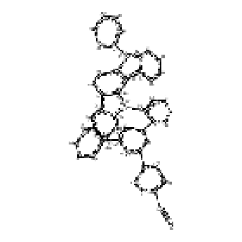 N#Cc1ccc(-c2cc(-c3ccccc3-n3c4ncccc4c4ccc5c(c6ccccc6n5-c5ccccc5)c43)cc(-c3ccccc3)n2)cc1